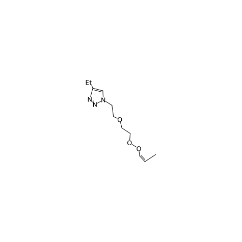 C/C=C\OOCCOCCn1cc(CC)nn1